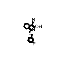 N#Cc1c(O)nc(SCc2cccc(F)c2)c2c1CCCC2